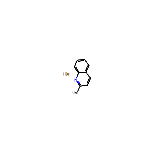 Br.CCCCc1ccc2ccccc2n1